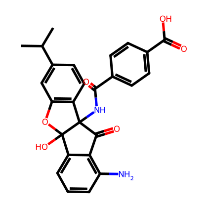 CC(C)c1ccc2c(c1)OC1(O)c3cccc(N)c3C(=O)C21NC(=O)c1ccc(C(=O)O)cc1